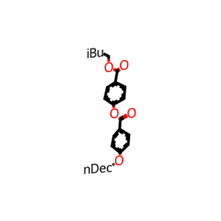 CCCCCCCCCCOc1ccc(C(=O)Oc2ccc(C(=O)OCC(C)CC)cc2)cc1